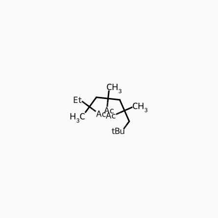 CCC(C)(CC(C)(CC(C)(CC(C)(C)C)C(C)=O)C(C)=O)C(C)=O